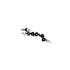 COc1cccc(-c2cccc(COc3ccc(-c4ccc(C(=O)N[C@@H](CCC(=O)O)C(N)=O)cc4)cc3)c2)c1